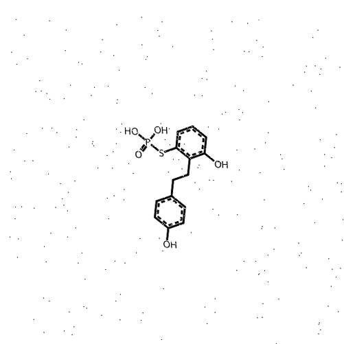 O=P(O)(O)Sc1cccc(O)c1CCc1ccc(O)cc1